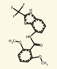 COc1cccc(OC)c1C(=O)Nc1cccc2[nH]c(C(F)(F)F)nc12